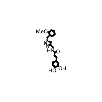 COc1ccccc1Cn1cc(CNC(=O)/C=C/c2ccc(O)c(O)c2)nn1